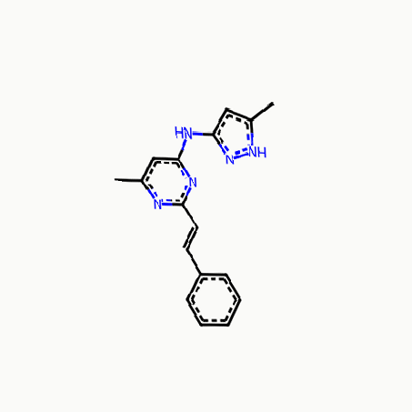 Cc1cc(Nc2cc(C)[nH]n2)nc(/C=C/c2ccccc2)n1